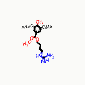 COc1cc(C(=O)OCCCCNC(=N)N)cc(OC)c1O.O